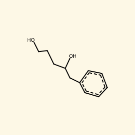 OCCCC(O)Cc1ccccc1